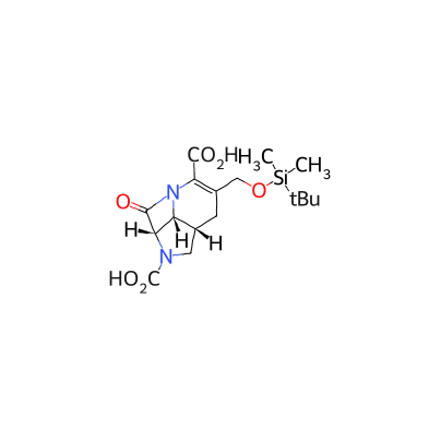 CC(C)(C)[Si](C)(C)OCC1=C(C(=O)O)N2C(=O)[C@@H]3[C@H]2[C@H](C1)CN3C(=O)O